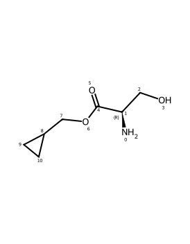 N[C@H](CO)C(=O)OCC1CC1